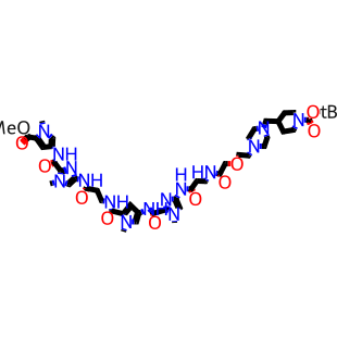 COC(=O)c1cc(NC(=O)c2nc(NC(=O)CCNC(=O)c3cc(NC(=O)c4nc(NC(=O)CCNC(=O)COCCN5CCN(CC6CCN(C(=O)OC(C)(C)C)CC6)CC5)cn4C)cn3C)cn2C)cn1C